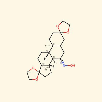 C[C@]12CCC3(CC1C/C(=N\O)[C@@H]1[C@@H]2CC[C@@]2(C)[C@H]1CCC21OCCO1)OCCO3